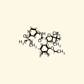 CCOc1c([C@H]2[C@H](C(=O)Nc3ccnc(S(C)(=O)=NC)c3)O[C@@](C)(C(F)(F)F)[C@H]2C)ccc(F)c1F